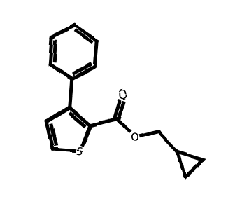 O=C(OCC1CC1)c1sccc1-c1ccccc1